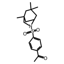 CC(=O)c1ccc(S(=O)(=O)N2CC3(C)CC2CC(C)(C)C3)cc1